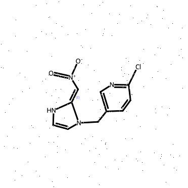 O=[N+]([O-])/C=C1\NC=CN1Cc1ccc(Cl)nc1